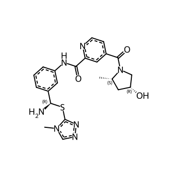 C[C@H]1C[C@@H](O)CN1C(=O)c1ccnc(C(=O)Nc2cccc([C@H](N)Sc3nncn3C)c2)c1